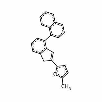 Cc1ccc(C2=Cc3c(cccc3-c3cccc4ccccc34)C2)o1